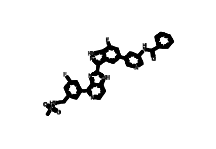 CS(=O)(=O)NCc1cc(F)cc(-c2nccc3[nH]c(-c4n[nH]c5c(F)cc(-c6cncc(NC(=O)c7ccccc7)c6)cc45)nc23)c1